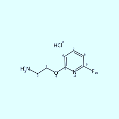 Cl.NCCOc1cccc(F)n1